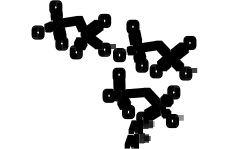 O=S(=O)([O-])CS(=O)(=O)[O-].O=S(=O)([O-])CS(=O)(=O)[O-].O=S(=O)([O-])CS(=O)(=O)[O-].[Al+3].[Al+3]